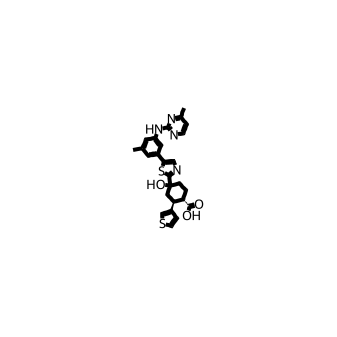 Cc1cc(Nc2nccc(C)n2)cc(-c2cnc(C3(O)CC[C@H](C(=O)O)[C@@H](c4ccsc4)C3)s2)c1